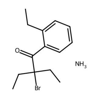 CCc1ccccc1C(=O)C(Br)(CC)CC.N